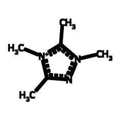 Cc1nn(C)c(C)[n+]1C